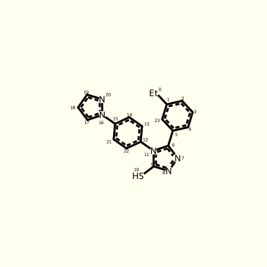 CCc1cccc(-c2nnc(S)n2-c2ccc(-n3cccn3)cc2)c1